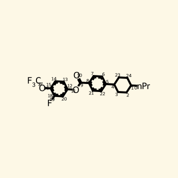 CCCC1CCC(c2ccc(C(=O)Oc3ccc(OC(F)(F)F)c(F)c3)cc2)CC1